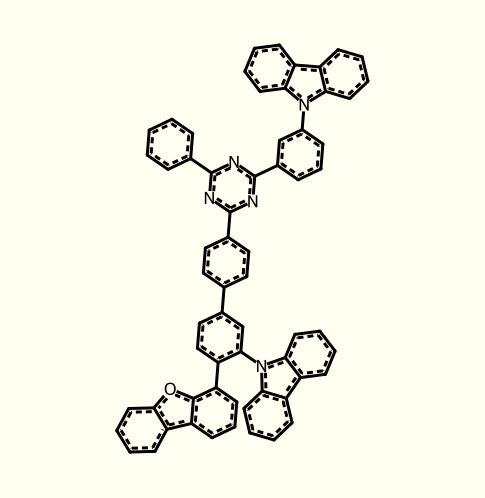 c1ccc(-c2nc(-c3ccc(-c4ccc(-c5cccc6c5oc5ccccc56)c(-n5c6ccccc6c6ccccc65)c4)cc3)nc(-c3cccc(-n4c5ccccc5c5ccccc54)c3)n2)cc1